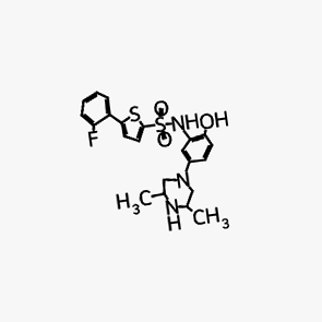 CC1CN(c2ccc(O)c(NS(=O)(=O)c3ccc(-c4ccccc4F)s3)c2)CC(C)N1